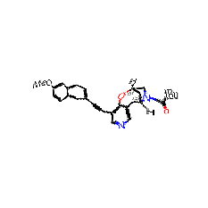 COc1ccc2cc(C#Cc3cncc4c3O[C@H]3C[C@@H]4N(C(=O)C(C)(C)C)C3)ccc2c1